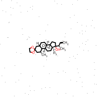 C=C[C@@H](C)[C@@]1(O)CC[C@H]2[C@@H]3CC[C@H]4CC5(C[C@H](C)[C@]4(C)[C@H]3CC[C@@]21C)OCCO5